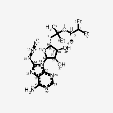 CCC(CC)[PH](=O)OC(C)(CC)C[C@H]1OC(n2c(N=[N+]=[N-])nc3c(N)ncnc32)[C@H](O)[C@@H]1O